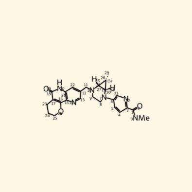 CNC(=O)c1ccc(N2CCN(Cc3cnc4c5c(c(=O)[nH]c4c3)CCCO5)[C@@H]3[C@H](C)[C@@H]32)cn1